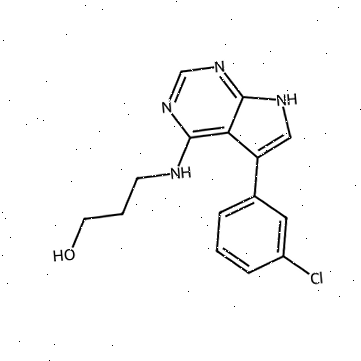 OCCCNc1ncnc2[nH]cc(-c3cccc(Cl)c3)c12